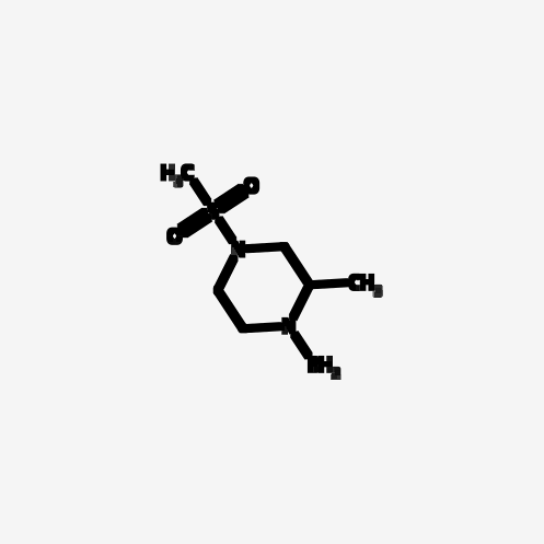 BN1CCN(S(C)(=O)=O)CC1C